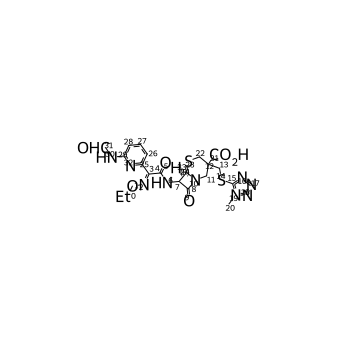 CCON=C(C(=O)NC1C(=O)N2CC(CSc3nnnn3C)(C(=O)O)CS[C@H]12)c1cccc(NC=O)n1